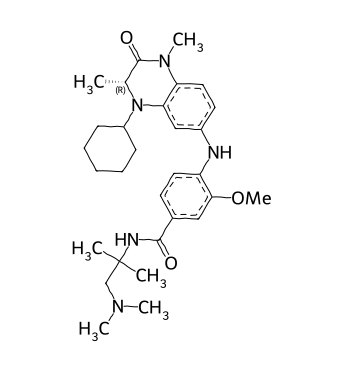 COc1cc(C(=O)NC(C)(C)CN(C)C)ccc1Nc1ccc2c(c1)N(C1CCCCC1)[C@H](C)C(=O)N2C